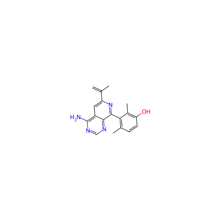 C=C(C)c1cc2c(N)ncnc2c(-c2c(C)ccc(O)c2C)n1